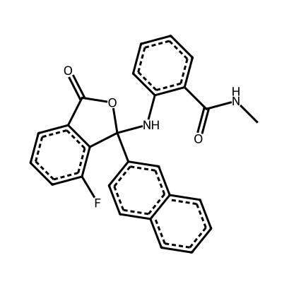 CNC(=O)c1ccccc1NC1(c2ccc3ccccc3c2)OC(=O)c2cccc(F)c21